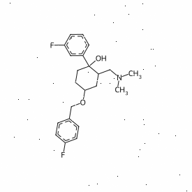 CN(C)CC1CC(OCc2ccc(F)cc2)CCC1(O)c1cccc(F)c1